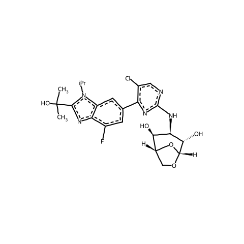 CC(C)n1c(C(C)(C)O)nc2c(F)cc(-c3nc(N[C@H]4[C@H](O)[C@@H]5OC[C@@H](O5)[C@H]4O)ncc3Cl)cc21